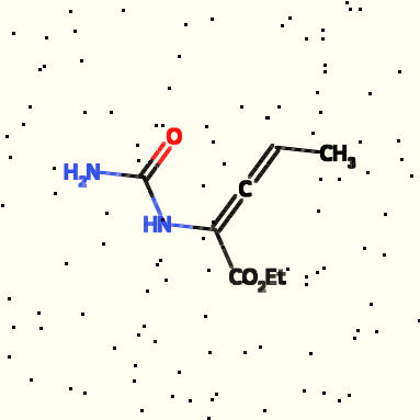 CC=C=C(NC(N)=O)C(=O)OCC